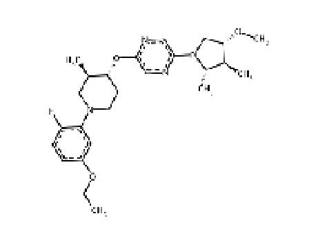 CCOc1ccc(F)c(N2CC[C@@H](Oc3cnc(N4C[C@H](OC)[C@@H](C)[C@@H]4C)cn3)[C@H](C)C2)c1